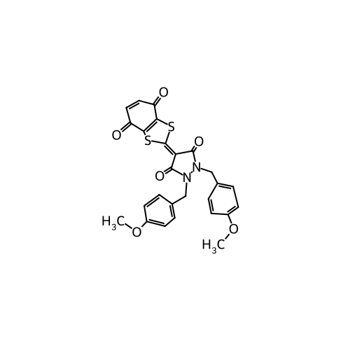 COc1ccc(CN2C(=O)C(=C3SC4=C(S3)C(=O)C=CC4=O)C(=O)N2Cc2ccc(OC)cc2)cc1